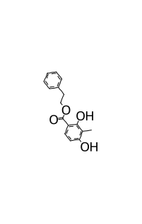 Cc1c(O)ccc(C(=O)OCCc2ccccc2)c1O